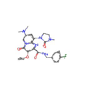 CCCCOc1c(C(=O)NCc2ccc(F)cc2)nc2c(N3CCN(C)C3=O)cc(N(C)C)cn2c1=O